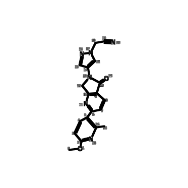 COc1ccc(-c2ccc3c(n2)CN(c2cnn(CC#N)c2)C3=O)c(C)n1